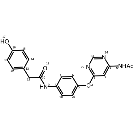 CC(=O)Nc1cc(Oc2ccc(NC(=O)Cc3ccc(O)cc3)cc2)ncn1